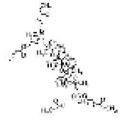 C=CC(=O)OCCO[Si](C)(CC[Si](C)(C)OC(C)(C)[Si](OC(C)(C)C(C)[Si](C)(C)OC(C)[Si](C)(C)CC[Si](C)(OCCOC(=O)C=C)OCCOC(=O)C=C)(c1ccccc1)c1ccccc1)OCCOC(=O)C=C